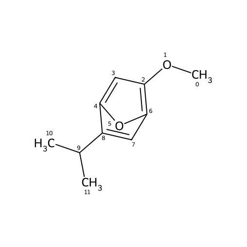 COc1cc2oc1cc2C(C)C